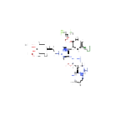 O=C(Nc1cn(CC=C2CCC3(CC2)OCCO3)nc1-c1cc(Cl)ccc1OC(F)F)c1cnn2cccnc12